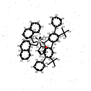 [CH2]=[Zr]([Cl])([Cl])([CH2]c1cccc2ccccc12)([CH2]c1cccc2ccccc12)([CH]1C=CC=C1)[CH]1c2cc(-c3ccccc3)c(C(C)(C)C)cc2-c2cc(C(C)(C)C)c(-c3ccccc3)cc21